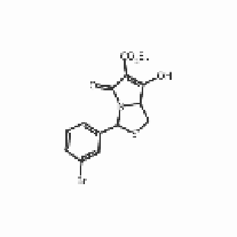 CCOC(=O)C1=C(O)C2CSC(c3cccc(Br)c3)N2C1=O